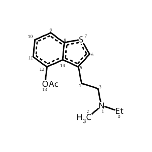 CCN(C)CCc1csc2cccc(OC(C)=O)c12